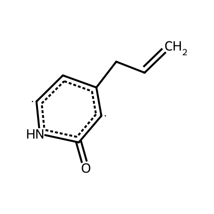 C=CCc1[c]c(=O)[nH][c]c1